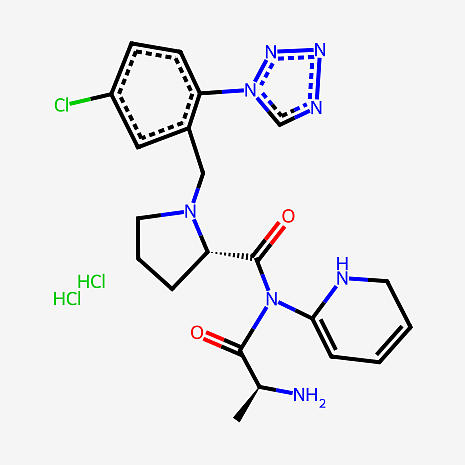 C[C@H](N)C(=O)N(C(=O)[C@@H]1CCCN1Cc1cc(Cl)ccc1-n1cnnn1)C1=CC=CCN1.Cl.Cl